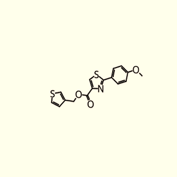 COc1ccc(-c2nc(C(=O)OCc3ccsc3)cs2)cc1